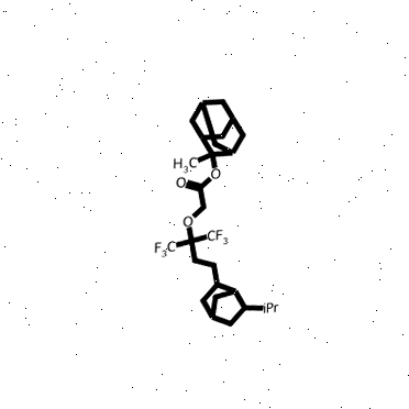 CC(C)C1CC2CC(CCC(OCC(=O)OC3(C)C4CC5CC(C4)CC3C5)(C(F)(F)F)C(F)(F)F)C1C2